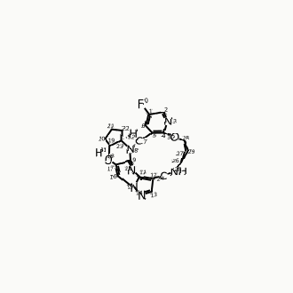 Fc1cnc2c(c1)CN1c3nc4c(cnn4cc3O[C@H]3CCC[C@H]31)CNC1CC(C1)O2